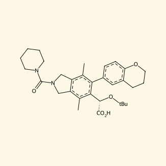 Cc1c2c(c(C)c([C@H](OC(C)(C)C)C(=O)O)c1-c1ccc3c(c1)CCCO3)CN(C(=O)N1CCCCC1)C2